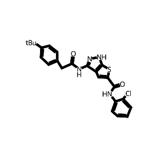 CC(C)(C)c1ccc(CC(=O)Nc2n[nH]c3sc(C(=O)Nc4ccccc4Cl)cc23)cc1